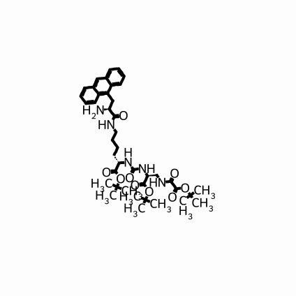 CC(C)(C)OC(=O)C(=O)NC[C@H](NC(=O)N[C@@H](CCCCNC(=O)[C@@H](N)Cc1c2ccccc2cc2ccccc12)C(=O)OC(C)(C)C)C(=O)OC(C)(C)C